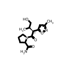 Cc1cc([C@@H](C(=O)N2CCCC2C(N)=O)C(C)CO)on1